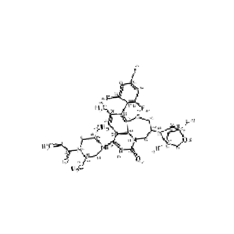 C=CC(=O)N1C[C@H](C)N(c2nc(=O)n3c4c(c(-c5c(F)cc(F)cc5F)c(C)cc24)SCC(N2C[C@@H]4C[C@H]2CO4)C3)C[C@H]1C